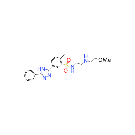 COCCNCCNS(=O)(=O)c1cc(-c2nnc(-c3ccccc3)[nH]2)ccc1C